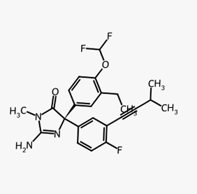 CCc1cc([C@@]2(c3ccc(F)c(C#CC(C)C)c3)N=C(N)N(C)C2=O)ccc1OC(F)F